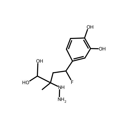 CC(CC(F)c1ccc(O)c(O)c1)(NN)C(O)O